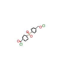 O=C(Cl)c1ccc(S(=O)(=O)c2ccc(COCl)cc2)cc1